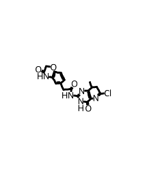 CC1CC(Cl)=Nc2c1nc(NC(=O)Cc1ccc3c(c1)NC(=O)CO3)[nH]c2=O